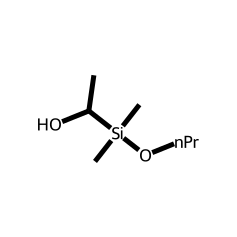 CCCO[Si](C)(C)C(C)O